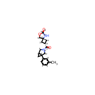 Cc1cccc(C23CC2CN(C(=O)[C@H]2C[C@]4(COC(=O)N4)C2)C3)c1